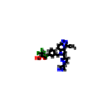 Cc1nnc2ccc3c(cc(-c4ccn(C5CNC5)n4)n3Cc3cccc(Cl)c3)n12.O=C(O)C(F)(F)F